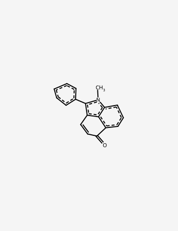 Cn1c(-c2ccccc2)c2c3c(cccc31)C(=O)C=C2